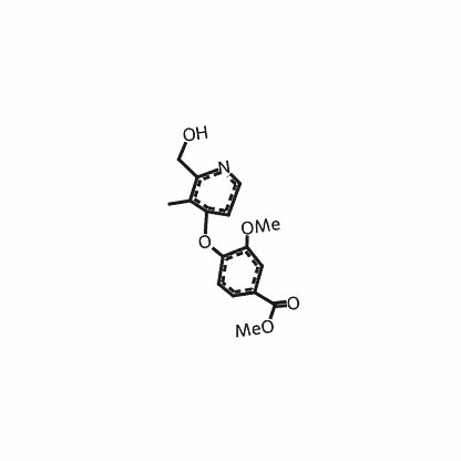 COC(=O)c1ccc(Oc2ccnc(CO)c2C)c(OC)c1